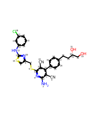 N#Cc1c(N)nc(SCc2csc(Nc3cccc(Cl)c3)n2)c(C#N)c1-c1ccc(CC[C@H](O)CO)cc1